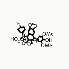 COc1cc([C@@H]2c3cc4c(cc3[C@H](N(C(=O)O)c3ccc(F)cc3)[C@@H]3C(=O)OC[C@@H]23)OCO4)cc(OC)c1O